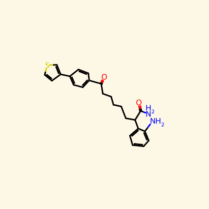 NC(=O)C(CCCCCC(=O)c1ccc(-c2ccsc2)cc1)c1ccccc1N